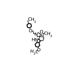 CCc1ccc(OCCN2CCC3(C2)c2[nH]c4ccc(OC)cc4c2CCN3C(C)=O)cc1